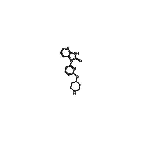 O=c1[nH]c2ncccc2n1-c1cccc(OC2CCNCC2)n1